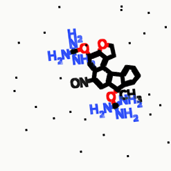 CC1(OC(N)(N)N)c2ccccc2-c2c1cc(N=O)c1cc(OC(N)(N)N)c3c(c21)CCO3